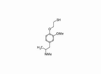 CNC(C)Cc1ccc(OCCS)c(OC)c1